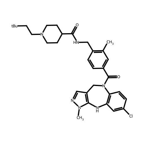 Cc1cc(C(=O)N2Cc3cnn(C)c3Nc3cc(Cl)ccc32)ccc1CNC(=O)C1CCN(CCC(C)(C)C)CC1